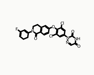 O=C1c2ccc(Oc3c(Cl)cc(-n4ncc(=O)[nH]c4=O)cc3Cl)cc2CCN1C1=CC(F)=CCC1